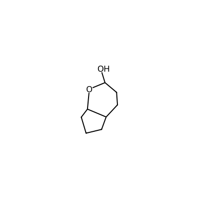 OC1CCC2CCCC2O1